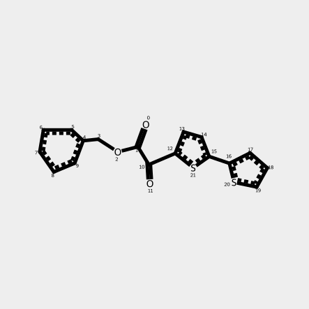 O=C(OCc1ccccc1)C(=O)c1ccc(-c2cccs2)s1